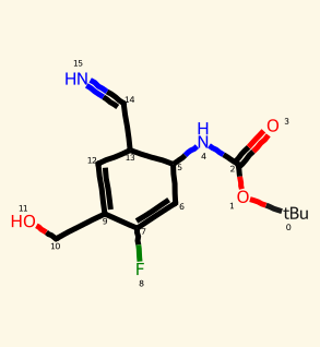 CC(C)(C)OC(=O)NC1C=C(F)C(CO)=CC1C=N